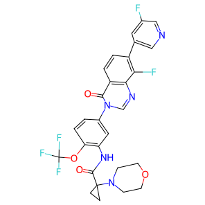 O=C(Nc1cc(-n2cnc3c(F)c(-c4cncc(F)c4)ccc3c2=O)ccc1OC(F)(F)F)C1(N2CCOCC2)CC1